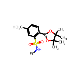 CCNS(=O)(=O)c1cc(C(=O)O)ccc1B1OC(C)(C)C(C)(C)O1